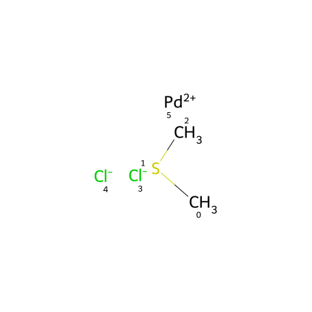 CSC.[Cl-].[Cl-].[Pd+2]